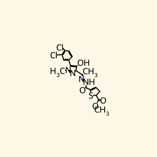 COC(=O)C1CC=C(C(=O)N/N=C(\C)c2nn(C)c(-c3ccc(Cl)c(Cl)c3)c2O)S1